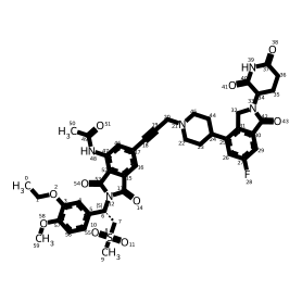 CCOc1cc([C@@H](CS(C)(=O)=O)N2C(=O)c3cc(C#CCN4CCC(c5cc(F)cc6c5CN(C5CCC(=O)NC5=O)C6=O)CC4)cc(NC(C)=O)c3C2=O)ccc1OC